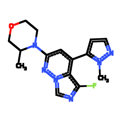 CC1COCCN1c1cc(-c2ccnn2C)c2c(F)ncn2n1